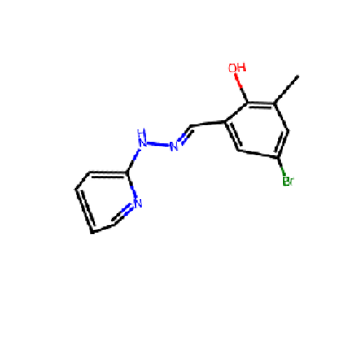 Cc1cc(Br)cc(/C=N/Nc2ccccn2)c1O